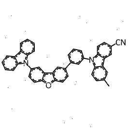 Cc1ccc2c(c1)c1cc(C#N)ccc1n2-c1cccc(-c2ccc3oc4ccc(-n5c6ccccc6c6ccccc65)cc4c3c2)c1